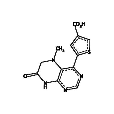 CN1CC(=O)Nc2ncnc(-c3cc(C(=O)O)cs3)c21